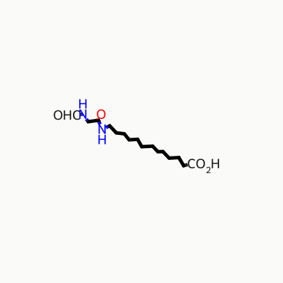 O=CNCC(=O)NCCCCCCCCCCCCC(=O)O